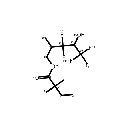 CCC(C)(C)C(=O)OCC(C)C(F)(F)C(O)C(F)(F)F